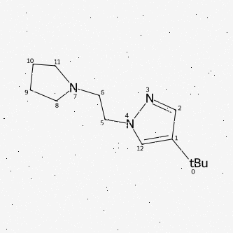 CC(C)(C)c1cnn(CCN2CCCC2)c1